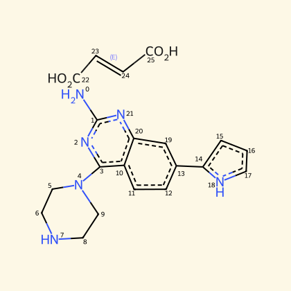 Nc1nc(N2CCNCC2)c2ccc(-c3ccc[nH]3)cc2n1.O=C(O)/C=C/C(=O)O